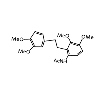 COc1ccc(CCc2c(NC(C)=O)ccc(OC)c2OC)cc1OC